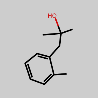 Cc1ccccc1CC(C)(C)O